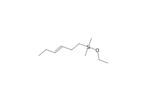 CCC=CCC[Si](C)(C)OCC